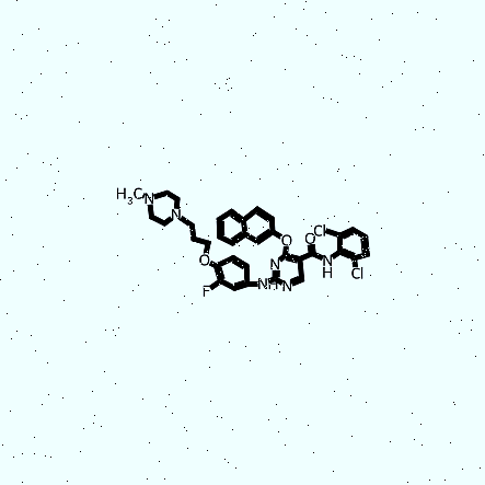 CN1CCN(CCCOc2ccc(Nc3ncc(C(=O)Nc4c(Cl)cccc4Cl)c(Oc4ccc5ccccc5c4)n3)cc2F)CC1